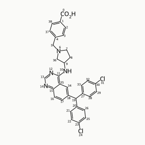 O=C(O)c1ccc(CN2CCC(Nc3ncnc4ccc(C(c5ccc(Cl)cc5)c5ccc(Cl)cc5)cc34)C2)cc1